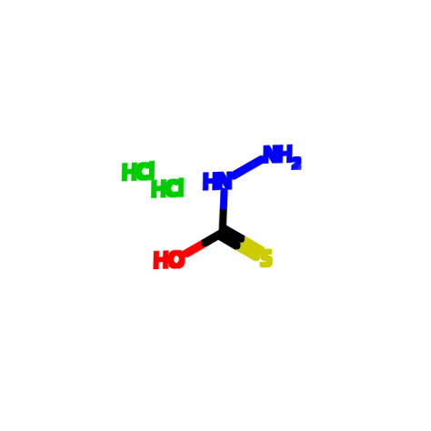 Cl.Cl.NNC(O)=S